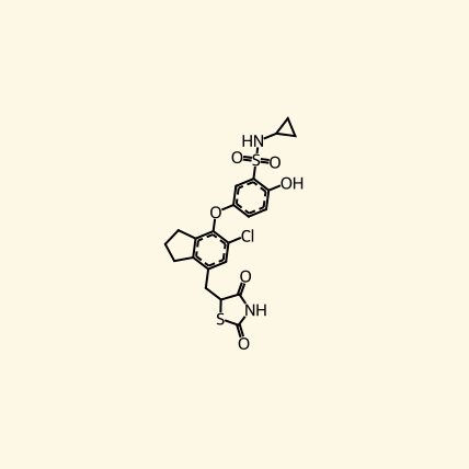 O=C1NC(=O)C(Cc2cc(Cl)c(Oc3ccc(O)c(S(=O)(=O)NC4CC4)c3)c3c2CCC3)S1